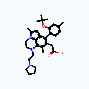 Cc1ccc(-c2c(CC(=O)O)c(C)c3c4c2cc(C)n4CCN3CCN2CCCC2)c(OC(C)(C)C)c1